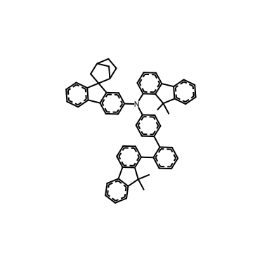 CC1(C)c2ccccc2-c2cccc(-c3ccccc3-c3ccc(N(c4ccc5c(c4)C4(CC6CCC4C6)c4ccccc4-5)c4cccc5c4C(C)(C)c4ccccc4-5)cc3)c21